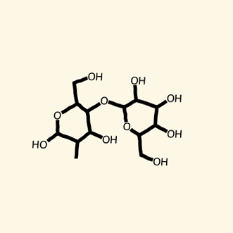 CC1C(O)OC(CO)C(OC2OC(CO)C(O)C(O)C2O)C1O